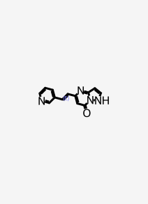 O=c1cc(/C=C/c2cccnc2)nc2cc[nH]n12